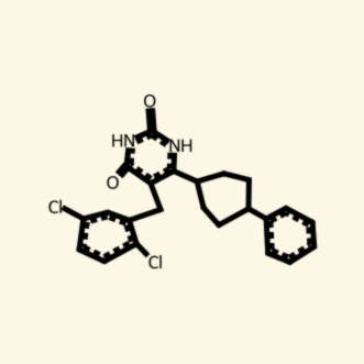 O=c1[nH]c(C2CCC(c3ccccc3)CC2)c(Cc2cc(Cl)ccc2Cl)c(=O)[nH]1